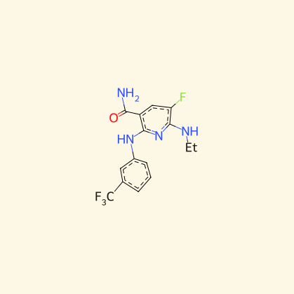 CCNc1nc(Nc2cccc(C(F)(F)F)c2)c(C(N)=O)cc1F